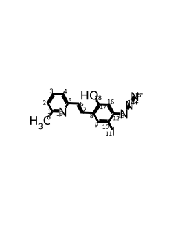 Cc1cccc(C=Cc2cc(I)c(N=[N+]=[N-])cc2O)n1